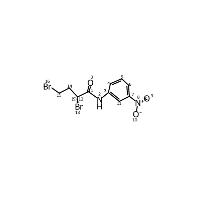 O=C(Nc1cccc([N+](=O)[O-])c1)[C@@H](Br)CCBr